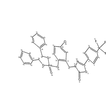 O=c1oc(-c2ccc(C(F)(F)F)cc2)nn1Cc1cc(Cl)ccc1OP(=O)(OCc1ccccc1)OCc1ccccc1